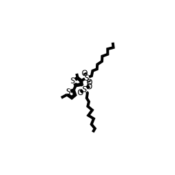 CCCCCCCCCCS(=O)(=O)c1c(C)sc(-c2ccc(C)s2)c1S(=O)(=O)CCCCCCCCCC